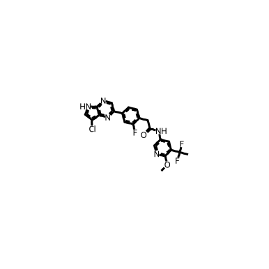 COc1ncc(NC(=O)Cc2ccc(-c3cnc4[nH]cc(Cl)c4n3)cc2F)cc1C(C)(F)F